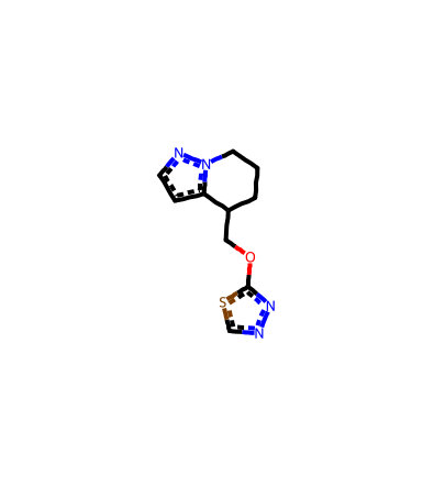 c1cc2n(n1)CCCC2COc1nncs1